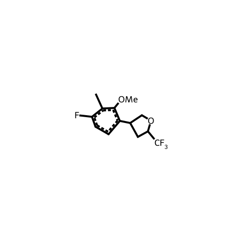 COc1c(C2COC(C(F)(F)F)C2)ccc(F)c1C